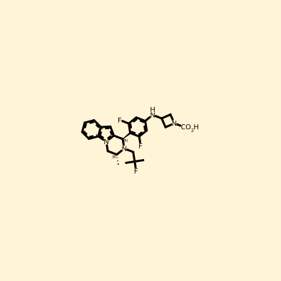 C[C@@H]1Cn2c(cc3ccccc32)[C@@H](c2c(F)cc(NC3CN(C(=O)O)C3)cc2F)N1CC(C)(C)F